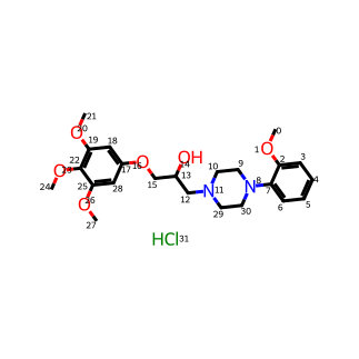 COc1ccccc1N1CCN(CC(O)COc2cc(OC)c(OC)c(OC)c2)CC1.Cl